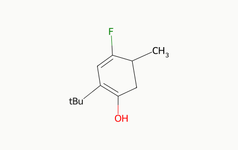 CC1CC(O)=C(C(C)(C)C)C=C1F